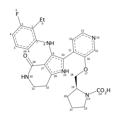 CCc1c(F)cccc1Nc1c(-c2ccncc2OC[C@@H]2CCCN2C(=O)O)[nH]c2c1C(=O)NCC2